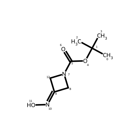 CC(C)(C)OC(=O)N1CC(=NO)C1